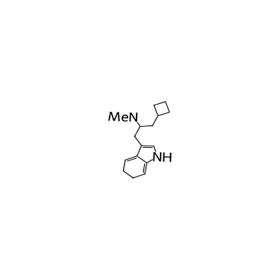 CNC(Cc1c[nH]c2c1=CCCC=2)CC1CCC1